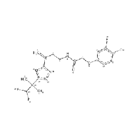 C=C(CCNC(=O)COc1ccc(Cl)c(F)c1)c1nnc(C(C)(C)C(F)F)o1